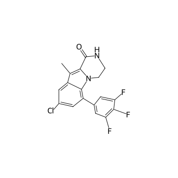 Cc1c2n(c3c(-c4cc(F)c(F)c(F)c4)cc(Cl)cc13)CCNC2=O